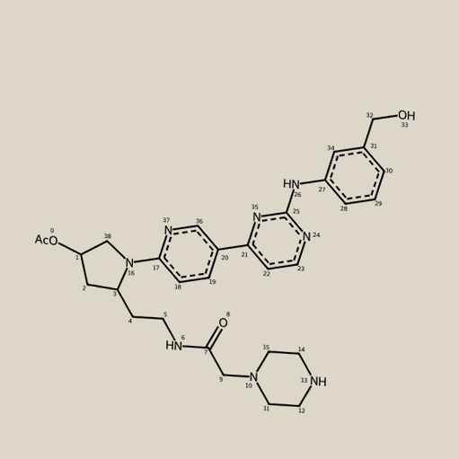 CC(=O)OC1CC(CCNC(=O)CN2CCNCC2)N(c2ccc(-c3ccnc(Nc4cccc(CO)c4)n3)cn2)C1